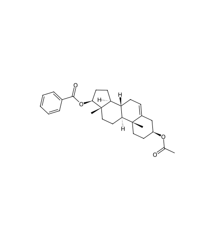 CC(=O)O[C@H]1CC[C@@]2(C)C(=CC[C@H]3[C@@H]4CC[C@H](OC(=O)c5ccccc5)[C@@]4(C)CC[C@@H]32)C1